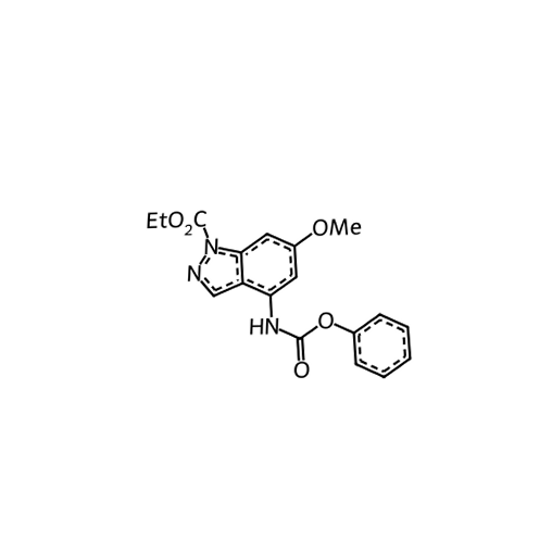 CCOC(=O)n1ncc2c(NC(=O)Oc3ccccc3)cc(OC)cc21